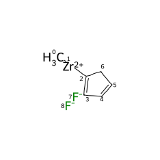 [CH3][Zr+2][C]1=CC=CC1.[F-].[F-]